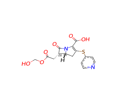 O=C(C[C@@H]1C(=O)N2C(C(=O)O)=C(Sc3ccncc3)C[C@H]12)OCO